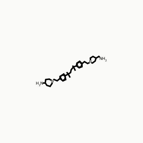 CC(C)(CCC(C)(C)c1ccc(CCN2CCC(CN)CC2)cc1)c1ccc(CCN2CCCC(N)CC2)cc1